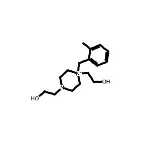 OCCN1CC[N+](CCO)(Cc2ccccc2I)CC1